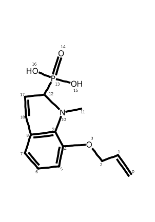 C=CCOc1cccc2c1N(C)C(P(=O)(O)O)C=C2